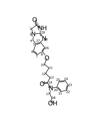 O=C1CN2Cc3ccc(OCCCCC(=O)N(CCO)c4ccccc4)cc3N=C2N1